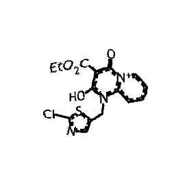 CCOC(=O)c1c(O)n(Cc2cnc(Cl)s2)c2cccc[n+]2c1=O